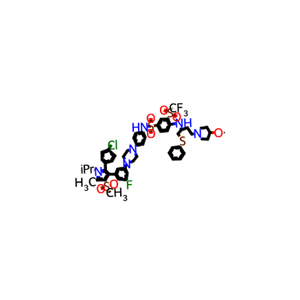 Cc1c(S(C)(=O)=O)c(-c2cc(F)cc(N3CCN(c4ccc(NS(=O)(=O)c5ccc(NC(CCN6CCC([O])CC6)CSc6ccccc6)c(S(=O)(=O)C(F)(F)F)c5)cc4)CC3)c2)c(-c2ccc(Cl)cc2)n1C(C)C